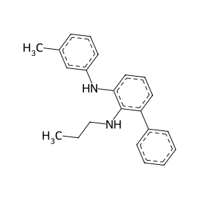 CCCNc1c(Nc2cccc(C)c2)cccc1-c1ccccc1